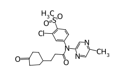 Cc1cnc(N(C(=O)CCC2CCC(=O)CC2)c2ccc(S(C)(=O)=O)c(Cl)c2)cn1